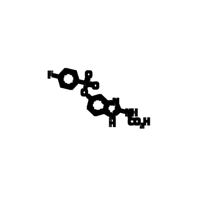 O=C(O)Nc1nc2cc(OS(=O)(=O)c3ccc(F)cc3)ccc2[nH]1